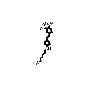 CCCCCCCNc1ccc(C=Cc2ccc([N+](=O)[O-])c([N+](=O)[O-])c2)cc1